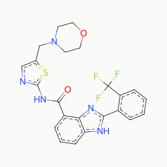 O=C(Nc1ncc(CN2CCOCC2)s1)c1cccc2[nH]c(-c3ccccc3C(F)(F)F)nc12